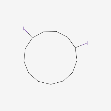 IC1CCCCCCCCC(I)CCC1